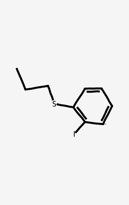 CCCSc1ccc[c]c1I